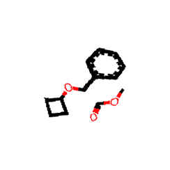 COC=O.c1ccc(COC2CCC2)cc1